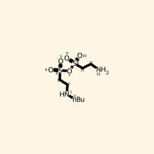 CCCCNCCS(=O)(=O)OS(=O)(=O)CCN